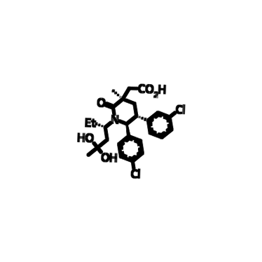 CC[C@@H](CC(C)(O)O)N1C(=O)[C@@](C)(CC(=O)O)C[C@H](c2cccc(Cl)c2)[C@H]1c1ccc(Cl)cc1